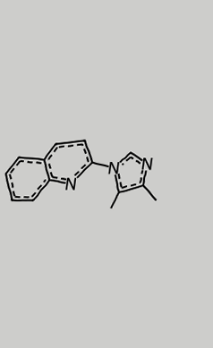 Cc1ncn(-c2ccc3ccccc3n2)c1C